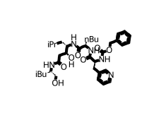 CCCC[C@H](NC(=O)[C@H](Cc1cccnc1)NC(=O)OCc1ccccc1)C(=O)N[C@@H](CC(C)C)[C@@H](O)CC(=O)N[C@H](CO)[C@@H](C)CC